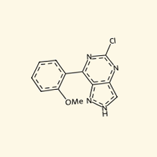 COc1ccccc1-c1nc(Cl)nc2c[nH]nc12